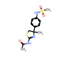 CC(=O)NC1=NC(C)(c2ccc(NS(C)(=O)=O)cc2)CS1